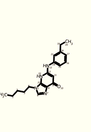 CCCCCn1cnc2c(=O)cc(Nc3cccc(CC)c3)[nH]c21